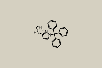 CNc1ccn(C(c2ccccc2)(c2ccccc2)c2ccccc2)n1